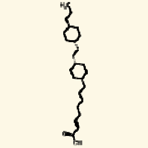 CCC[C@H]1CC[C@H](CC[C@H]2CC[C@H](CCCCC/C=C/C(=O)O)CC2)CC1